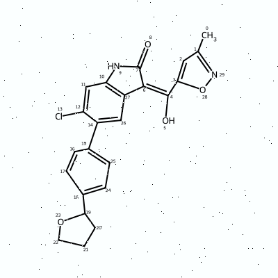 Cc1cc(C(O)=C2C(=O)Nc3cc(Cl)c(-c4ccc(C5CCCO5)cc4)cc32)on1